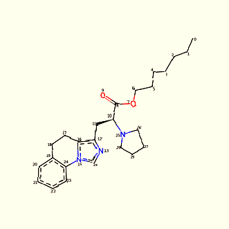 CCCCCCCOC(=O)[C@H](Cc1ncn2c1CCc1ccccc1-2)N1CCCC1